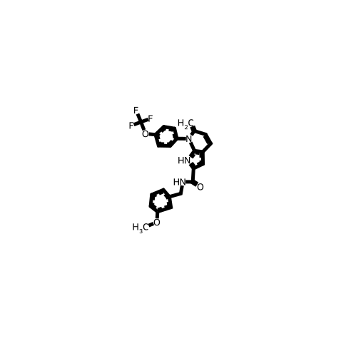 C=C1C=Cc2cc(C(=O)NCc3cccc(OC)c3)[nH]c2N1c1ccc(OC(F)(F)F)cc1